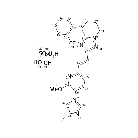 COc1nc(/C=C/c2nc3n(n2)CCC[C@H]3c2ccccc2C(F)(F)F)ccc1-n1cnc(C)c1.O=S(=O)(O)O.O=S(=O)(O)O